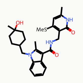 CSc1cc(C)[nH]c(=O)c1CNC(=O)c1c(C)n(CC2CCC(C)(O)CC2)c2ccccc12